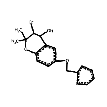 CC1(C)Oc2ccc(OCc3ccccc3)cc2C(O)C1Br